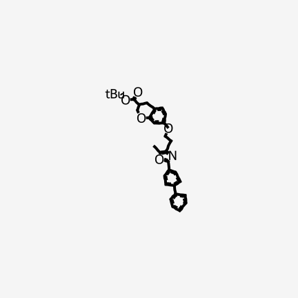 Cc1oc(-c2ccc(-c3ccccc3)cc2)nc1CCOc1ccc2c(c1)OCC(C(=O)OC(C)(C)C)C2